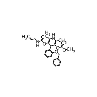 C=CCNC(=O)OC1=C(C)NC(C)=C(OC(=O)OC)C1c1ccccc1OCc1ccccc1